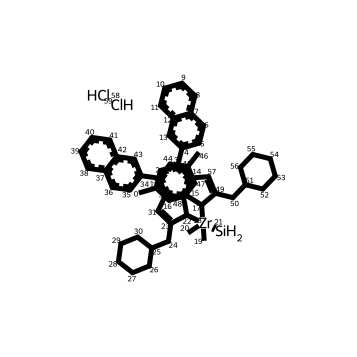 Cc1cc(-c2ccc3ccccc3c2)c2c(c1)[CH]([Zr]([CH3])([CH3])(=[SiH2])[CH]1C(CC3CCCCC3)=Cc3c(-c4ccc5ccccc5c4)cc(C)cc31)C(CC1CCCCC1)=C2.Cl.Cl